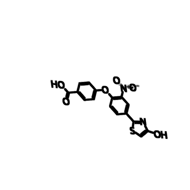 O=C(O)c1ccc(Oc2ccc(-c3nc(O)cs3)cc2[N+](=O)[O-])cc1